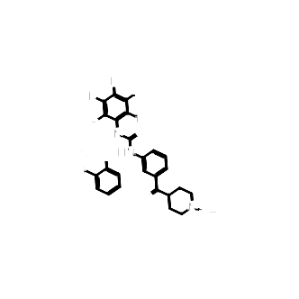 CN1CCC(C(=O)c2cccc(NC(=S)Nc3c(F)c(F)c(F)c(F)c3F)c2)CC1.O=C(O)c1ccccc1Cl